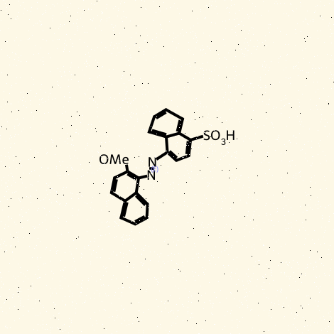 COc1ccc2ccccc2c1/N=N/c1ccc(S(=O)(=O)O)c2ccccc12